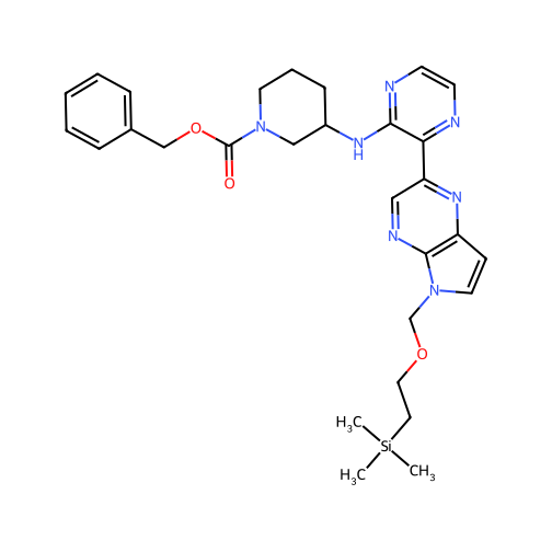 C[Si](C)(C)CCOCn1ccc2nc(-c3nccnc3NC3CCCN(C(=O)OCc4ccccc4)C3)cnc21